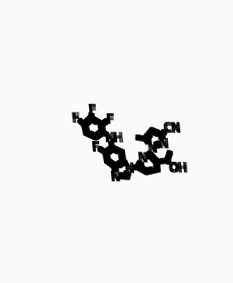 Cc1cc(C#N)nn1-c1nc(-n2cnc3cc(F)c(Nc4ccc(F)c(F)c4F)cc32)ccc1C(C)O